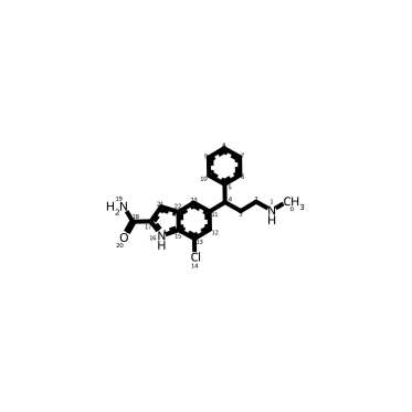 CNCCC(c1ccccc1)c1cc(Cl)c2[nH]c(C(N)=O)cc2c1